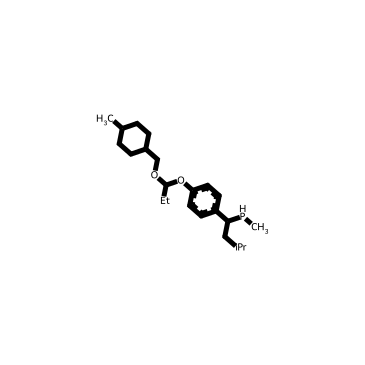 CCC(OCC1CCC(C)CC1)Oc1ccc(C(CC(C)C)PC)cc1